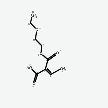 CC=C(C(=O)O)C(=O)OCCOCC